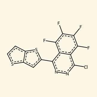 Fc1c(F)c(F)c2c(-c3cc4sccc4s3)nnc(Cl)c2c1F